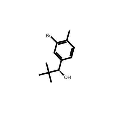 Cc1ccc([C@@H](O)C(C)(C)C)cc1Br